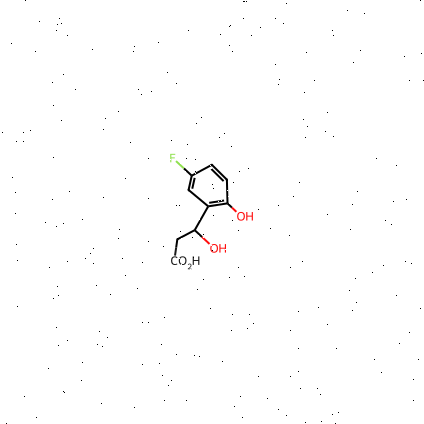 O=C(O)CC(O)c1cc(F)ccc1O